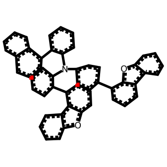 c1ccc(N(c2ccc(-c3cccc4c3oc3ccccc34)cc2)c2ccccc2-c2cccc3oc4ccccc4c23)c(-c2cccc3ccccc23)c1